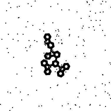 c1ccc2c(c1)sc1cc(-n3c4ccccc4c4c(-c5cc(-n6c7ccccc7c7ccccc76)cc(-n6c7ccccc7c7ccccc76)c5)cccc43)ccc12